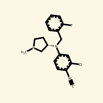 [C-]#[N+]c1ccc(N(Cc2ccccc2F)[C@H]2CCN(C)C2)cc1Cl